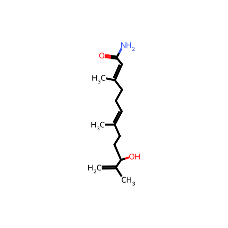 C=C(C)C(O)CC/C(C)=C/CC/C(C)=C/C(N)=O